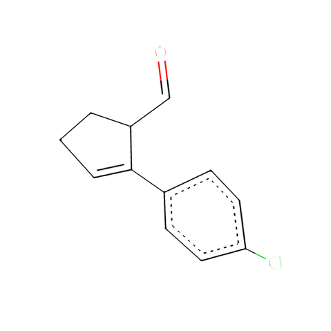 O=CC1CCC=C1c1ccc(Cl)cc1